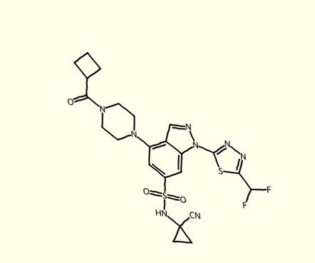 N#CC1(NS(=O)(=O)c2cc(N3CCN(C(=O)C4CCC4)CC3)c3cnn(-c4nnc(C(F)F)s4)c3c2)CC1